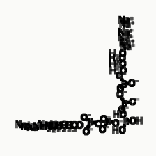 O.O.O.O.O.O.O.O.O.O.OB(O)O.[Na+].[Na+].[Na+].[Na+].[Na+].[Na+].[Na+].[Na+].[Na+].[Na+].[Na+].[Na+].[O-]B([O-])[O-].[O-]B([O-])[O-].[O-]B([O-])[O-].[O-]B([O-])[O-]